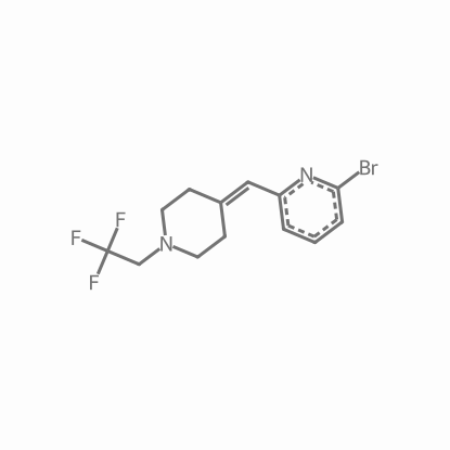 FC(F)(F)CN1CCC(=Cc2cccc(Br)n2)CC1